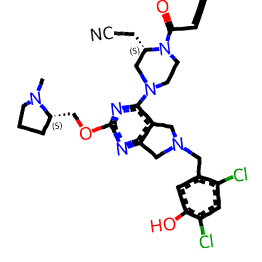 C=CC(=O)N1CCN(c2nc(OC[C@@H]3CCCN3C)nc3c2CN(Cc2cc(O)c(Cl)cc2Cl)C3)C[C@@H]1CC#N